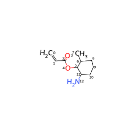 C=CC(=O)OC1C(C)CCCC1N